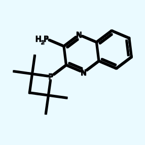 CC1(C)CC(C)(C)P1c1nc2ccccc2nc1P